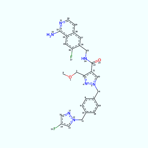 COCc1nn(Cc2ccc(Cn3cc(F)cn3)cc2)cc1C(=O)NCc1cc2ccnc(N)c2cc1F